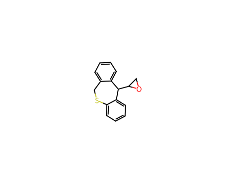 c1ccc2c(c1)CSc1ccccc1C2C1CO1